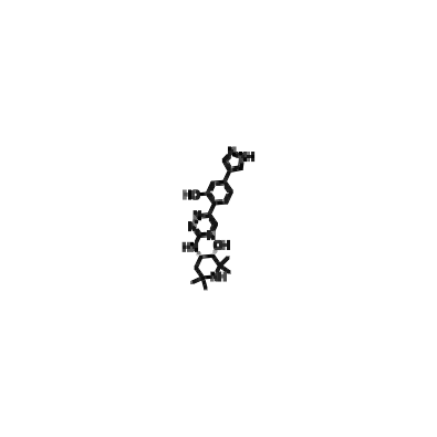 CC1(C)C[C@H](Nc2ncc(-c3ccc(-c4cn[nH]c4)cc3O)nn2)[C@H](O)C(C)(C)N1